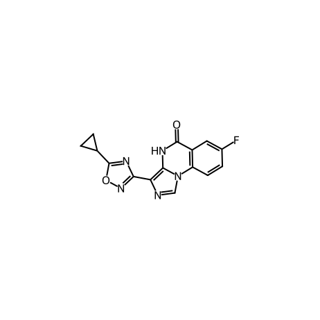 O=c1[nH]c2c(-c3noc(C4CC4)n3)ncn2c2ccc(F)cc12